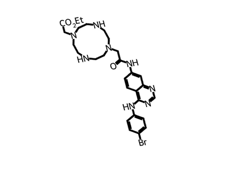 CCOC(=O)CN1CCNCCN(CC(=O)Nc2ccc3c(Nc4ccc(Br)cc4)ncnc3c2)CCNCC1